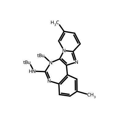 Cc1ccc2c(c1)-c1nc3ccc(C)cn3c1N(C(C)(C)C)C(NC(C)(C)C)=N2